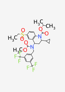 CCS(=O)(=O)c1ccc2c(c1)C(N(Cc1cc(C(F)(F)F)cc(C(F)(F)F)c1)C(=O)OC)CC(C1CC1)N2C(=O)OC(C)C